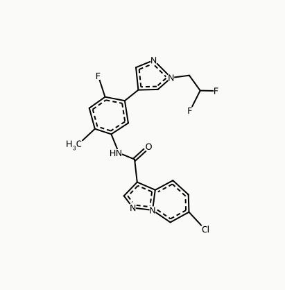 Cc1cc(F)c(-c2cnn(CC(F)F)c2)cc1NC(=O)c1cnn2cc(Cl)ccc12